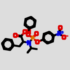 CC(C)N(C(Cc1ccccc1)C(=O)O)P(=O)(Oc1ccccc1)Oc1ccc([N+](=O)[O-])cc1